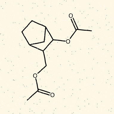 CC(=O)OCC1C2CCC(C2)C1OC(C)=O